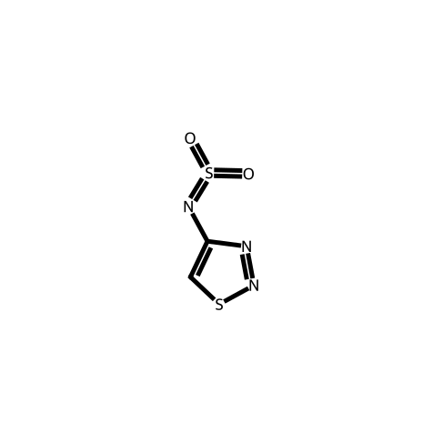 O=S(=O)=Nc1csnn1